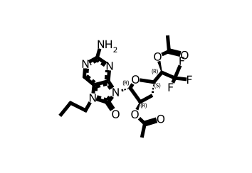 CCCn1c(=O)n([C@@H]2O[C@H]([C@@H](OC(C)=O)C(F)(F)F)C[C@H]2OC(C)=O)c2nc(N)ncc21